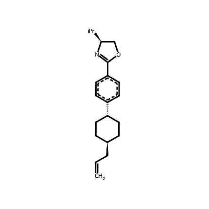 C=CC[C@H]1CC[C@H](c2ccc(C3=N[C@@H](C(C)C)CO3)cc2)CC1